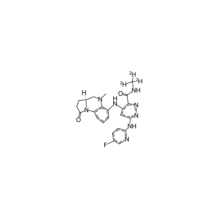 [2H]C([2H])([2H])NC(=O)c1nnc(Nc2ccc(F)cn2)cc1Nc1cccc2c1N(C)C[C@@H]1CCC(=O)N21